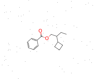 CCC(COC(=O)c1ccccc1)C1CCC1